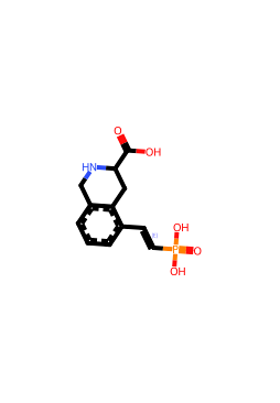 O=C(O)C1Cc2c(/C=C/P(=O)(O)O)cccc2CN1